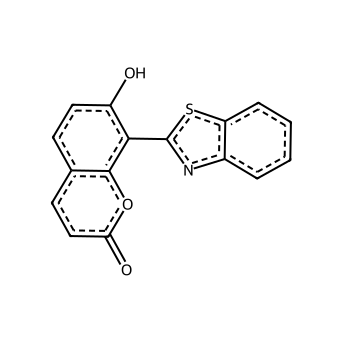 O=c1ccc2ccc(O)c(-c3nc4ccccc4s3)c2o1